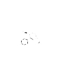 CC(=O)OC1C=C(c2ccc(C)cc2)C(C#N)CC1